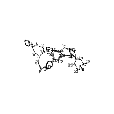 CCC12CCC(=O)CC1CCOc1cc3c(cnn3-c3ccnc(C)c3)cc12